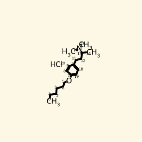 CCCCCCOc1ccc(CCC(C)N(C)C)cc1.Cl